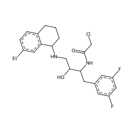 CCc1ccc2c(c1)C(NCC(O)C(Cc1cc(F)cc(F)c1)NC(=O)CCl)CCC2